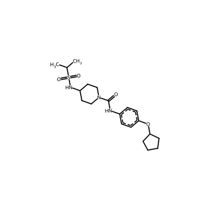 CC(C)S(=O)(=O)NC1CCN(C(=O)Nc2ccc(OC3CCCC3)cc2)CC1